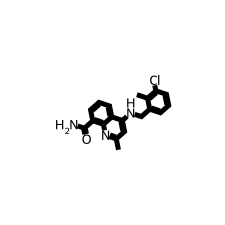 Cc1cc(NCc2cccc(Cl)c2C)c2cccc(C(N)=O)c2n1